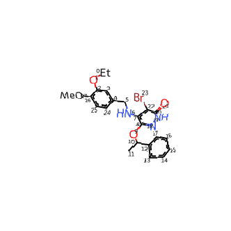 CCOc1cc(CNc2c(OC(C)c3ccccc3)n[nH]c(=O)c2Br)ccc1OC